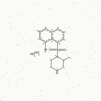 CC1CNCCN1S(=O)(=O)c1cccc2cncc(Br)c12.Cl.Cl